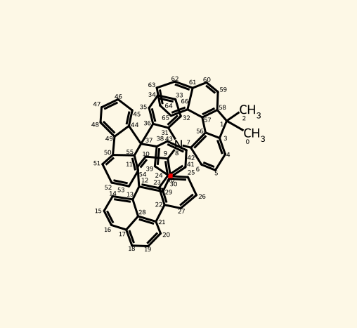 CC1(C)c2cccc(N(c3ccc(-c4cccc5cccc(-c6ccccc6)c45)cc3)c3ccccc3C3(c4ccccc4)c4ccccc4-c4ccccc43)c2-c2c1ccc1ccccc21